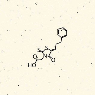 O=C(O)CN1C(=O)C(=CCCc2ccccc2)SC1=S